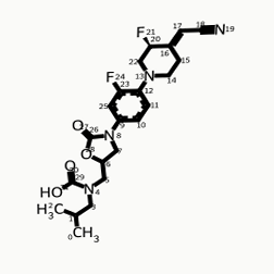 CC(C)CN(CC1CN(c2ccc(N3CCC(=CC#N)[C@H](F)C3)c(F)c2)C(=O)O1)C(=O)O